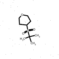 CC(C)(C)S(=O)(=O)C1CCOCC1